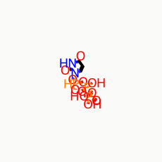 O=c1ccn(O[PH](=O)OP(=O)(O)OP(=O)(O)O)c(=O)[nH]1